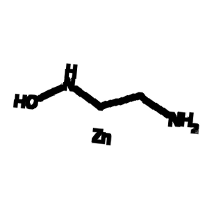 NCCNO.[Zn]